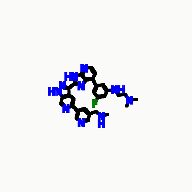 CNCc1cncc(-c2cc3c(-c4nc5c(-c6cc(F)cc(NCCN(C)C)c6)ccnc5[nH]4)n[nH]c3cn2)c1